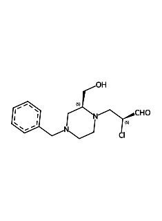 O=C[C@@H](Cl)CN1CCN(Cc2ccccc2)C[C@H]1CO